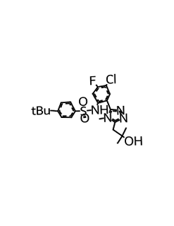 Cn1c(CC(C)(C)O)nnc1-c1cc(Cl)c(F)cc1NS(=O)(=O)c1ccc(C(C)(C)C)cc1